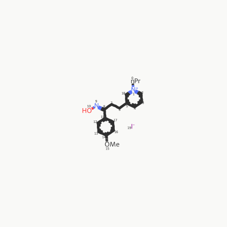 CCC[n+]1cccc(CC/C(=N/O)c2ccc(OC)cc2)c1.[I-]